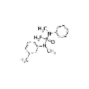 CC1C=CC=C(N(C)P(=O)(P)N(C)c2ccccc2)C1